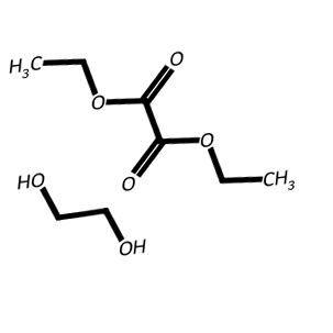 CCOC(=O)C(=O)OCC.OCCO